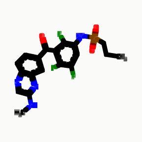 CCCS(=O)(=O)Nc1cc(F)c(F)c(C(=O)c2ccc3ncc(NC)nc3c2)c1F